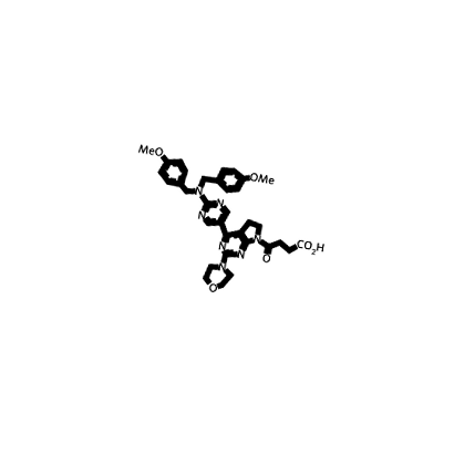 COc1ccc(CN(Cc2ccc(OC)cc2)c2ncc(-c3nc(N4CCOCC4)nc4c3CCN4C(=O)CCC(=O)O)cn2)cc1